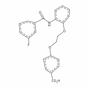 O=C(O)c1ccc(OCCOc2ccccc2NC(=O)c2cccc(F)c2)cc1